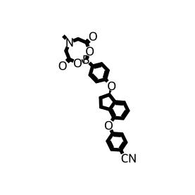 CN1CC(=O)OB(c2ccc(O[C@@H]3CCc4c(Oc5ccc(C#N)cc5)cccc43)cc2)OC(=O)C1